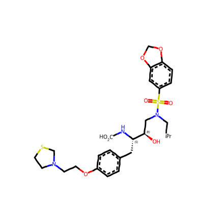 CC(C)CN(C[C@@H](O)[C@H](Cc1ccc(OCCN2CCSC2)cc1)NC(=O)O)S(=O)(=O)c1ccc2c(c1)OCO2